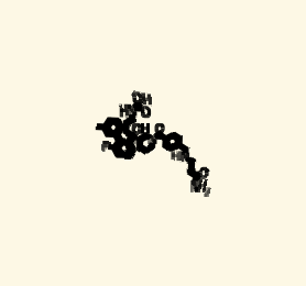 Cc1cccc(-c2c(F)cccc2C(O)(CCCNC(=O)O)[C@@H]2CCCN(C(=O)c3ccc(CNCCC(N)=O)cc3)C2)c1